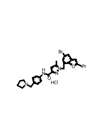 Cc1cc(C(=O)Nc2ccc(CN3CCCC3)cc2)nn1Cc1cc(Br)cc2cc(C(C)C)oc12.Cl